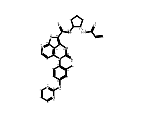 C=CC(=O)N[C@H]1CCCC1NC(=O)c1sc2nccc3c2c1NC(=O)N3c1ccc(Oc2ncccn2)cc1C